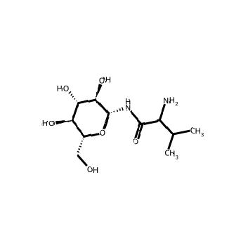 CC(C)C(N)C(=O)N[C@@H]1O[C@H](CO)[C@@H](O)[C@H](O)[C@H]1O